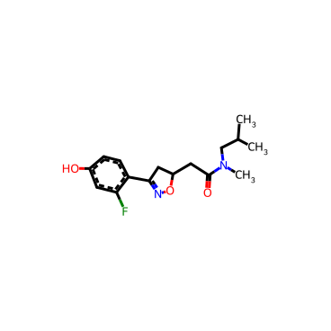 CC(C)CN(C)C(=O)CC1CC(c2ccc(O)cc2F)=NO1